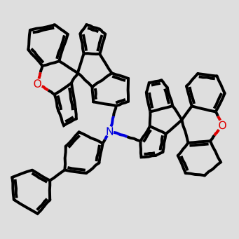 C1=CC2=C(CC1)Oc1ccccc1C21c2ccccc2-c2c(N(c3ccc(-c4ccccc4)cc3)c3ccc4c(c3)C3(c5ccccc5Oc5ccccc53)c3ccccc3-4)cccc21